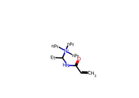 C=CC(=O)NC(CC)[N+](CCC)(CCC)CCC